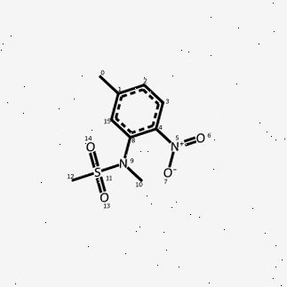 Cc1ccc([N+](=O)[O-])c(N(C)S(C)(=O)=O)c1